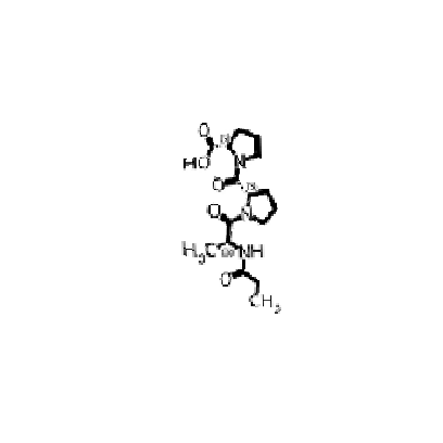 CCC(=O)N[C@@H](C)C(=O)N1CCC[C@H]1C(=O)N1CCC[C@H]1C(=O)O